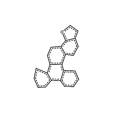 c1ccc2c(c1)c1ccccc1c1c2ccc2c1ccc1ccoc12